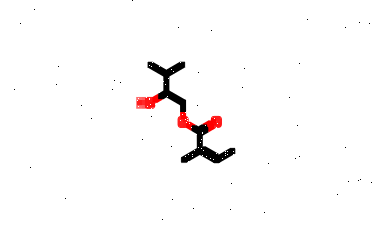 CC=C(C)C(=O)OCC(O)C(C)C